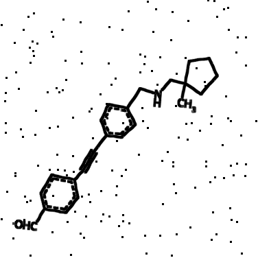 CC1(CNCc2ccc(C#Cc3ccc([C]=O)cc3)cc2)CCCC1